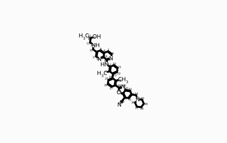 Cc1c(Nc2nccc3cc(CNC[C@H](C)O)cnc23)cccc1-c1cccc(-c2nc3cc(CN4CCCCC4)cc(C#N)c3o2)c1C